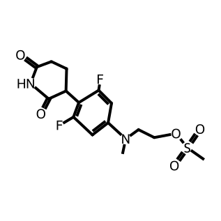 CN(CCOS(C)(=O)=O)c1cc(F)c(C2CCC(=O)NC2=O)c(F)c1